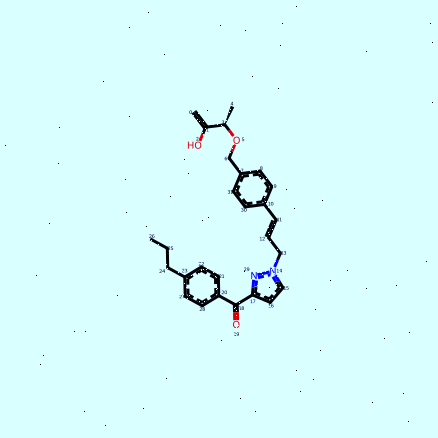 C=C(O)[C@@H](C)OCc1ccc(/C=C/Cn2ccc(C(=O)c3ccc(CCC)cc3)n2)cc1